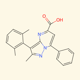 Cc1cccc(C)c1-c1c(C)nn2c(-c3ccccc3)cc(C(=O)O)nc12